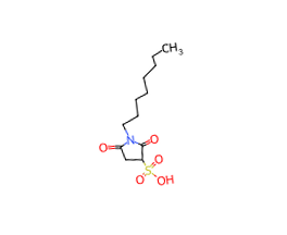 CCCCCCCCN1C(=O)CC(S(=O)(=O)O)C1=O